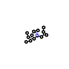 c1ccc(-c2cccc([Si](c3ccccc3)(c3cccc(-c4ccccc4)c3)c3cccc(-c4cc(-c5cccc(C6c7ccccc7-c7cc(-c8ccccc8)ccc76)c5)nc(-n5c6ccccc6c6ccccc65)n4)c3)c2)cc1